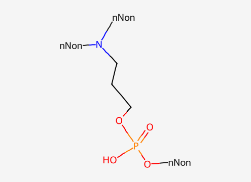 CCCCCCCCCOP(=O)(O)OCCCN(CCCCCCCCC)CCCCCCCCC